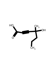 CCCC(C)(O)C#CC(=O)O